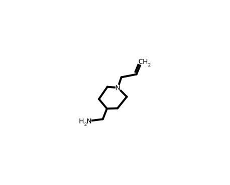 C=CCN1CCC(CN)CC1